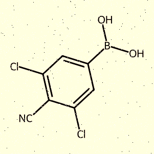 N#Cc1c(Cl)cc(B(O)O)cc1Cl